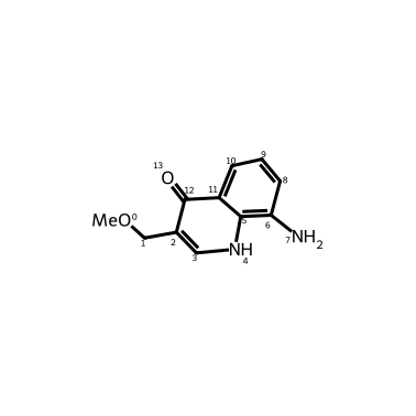 COCc1c[nH]c2c(N)cccc2c1=O